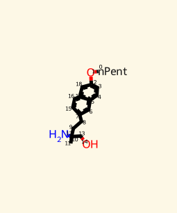 CCCCCOc1ccc2cc(CCC(C)(N)CO)ccc2c1